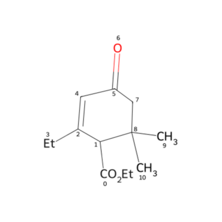 CCOC(=O)C1C(CC)=CC(=O)CC1(C)C